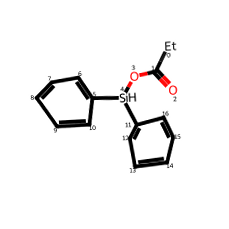 CCC(=O)O[SiH](c1ccccc1)c1ccccc1